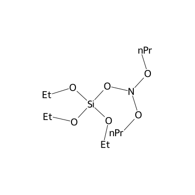 CCCON(OCCC)O[Si](OCC)(OCC)OCC